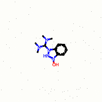 CN(C)C(N(C)C)N1NN(O)c2ccccc21